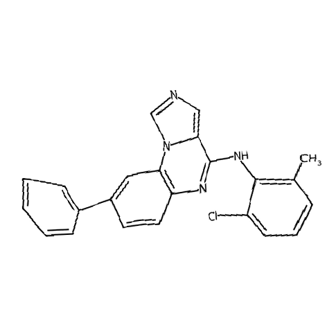 Cc1cccc(Cl)c1Nc1nc2ccc(-c3ccccc3)cc2n2cncc12